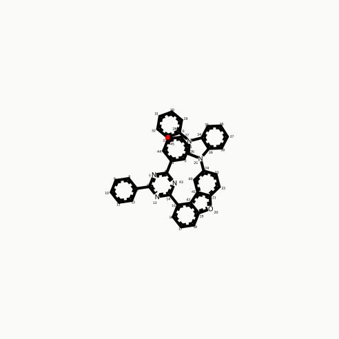 c1ccc(-c2nc(-c3ccccc3)nc(-c3cccc4oc5ccc(N6CN(c7ccccc7)c7ccccc76)cc5c34)n2)cc1